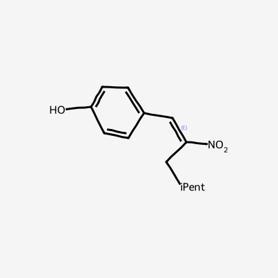 CCCC(C)C/C(=C\c1ccc(O)cc1)[N+](=O)[O-]